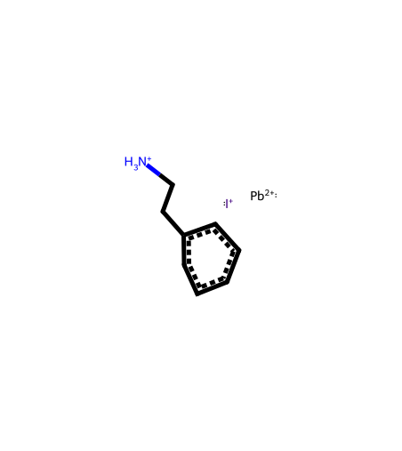 [I+].[NH3+]CCc1ccccc1.[Pb+2]